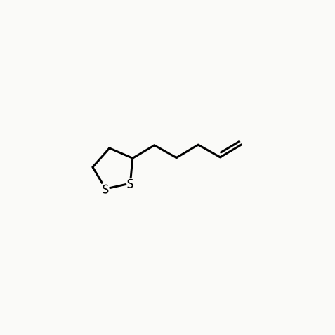 C=CCCCC1CCSS1